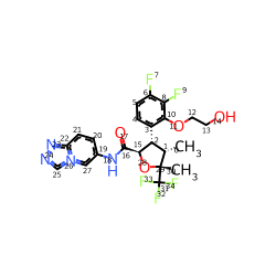 C[C@H]1[C@@H](c2ccc(F)c(F)c2OCCO)[C@H](C(=O)Nc2ccc3nncn3c2)O[C@@]1(C)C(F)(F)F